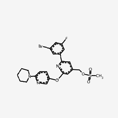 CS(=O)(=O)OCc1cc(Oc2ccc(N3CCCCC3)nc2)nc(-c2cc(F)cc(Br)c2)c1